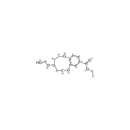 CCOC(=O)c1ccc2c(c1)OCCC(OCO)CCO2